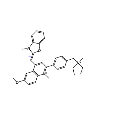 CC[N+](C)(CC)Cc1ccc(-c2cc(/C=C3\Oc4ccccc4N3C)c3cc(OC)ccc3[n+]2C)cc1